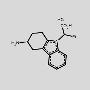 CCC(C(=O)O)n1c2c(c3ccccc31)C[C@@H](N)CC2.Cl